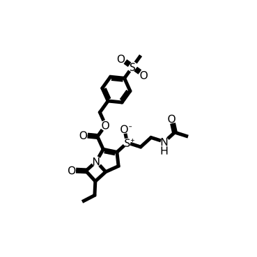 CCC1C(=O)N2C(C(=O)OCc3ccc(S(C)(=O)=O)cc3)=C([S+]([O-])CCNC(C)=O)CC12